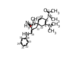 CC(=O)N(C)C1=C(N(C)C)CC(CC(C#N)=CNc2ccccc2)(N(C)C)C=C1